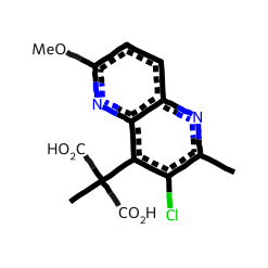 COc1ccc2nc(C)c(Cl)c(C(C)(C(=O)O)C(=O)O)c2n1